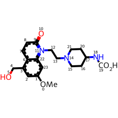 COc1cc(CO)c2ccc(=O)n(CCN3CCC(NC(=O)O)CC3)c2c1